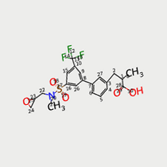 CC(Cc1cccc(-c2cc(C(F)(F)F)cc(S(=O)(=O)N(C)CC3CO3)c2)c1)C(=O)O